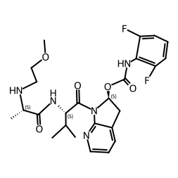 COCCN[C@@H](C)C(=O)N[C@H](C(=O)N1c2ncccc2C[C@@H]1OC(=O)Nc1c(F)cccc1F)C(C)C